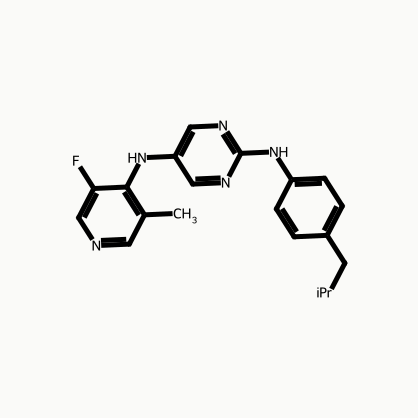 Cc1cncc(F)c1Nc1cnc(Nc2ccc(CC(C)C)cc2)nc1